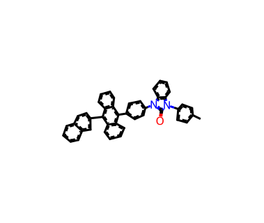 Cc1ccc(-n2c(=O)n(-c3ccc(-c4c5ccccc5c(-c5ccc6ccccc6c5)c5ccccc45)cc3)c3ccccc32)cc1